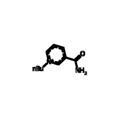 CCCC[n+]1cccc(C(N)=O)c1